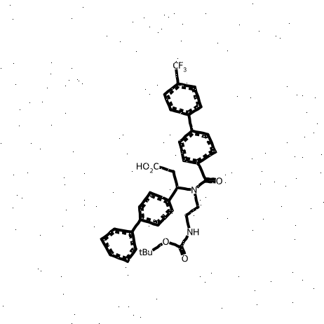 CC(C)(C)OC(=O)NCCN(C(=O)c1ccc(-c2ccc(C(F)(F)F)cc2)cc1)C(CC(=O)O)c1ccc(-c2ccccc2)cc1